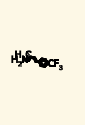 C[C@@H](CN)CCc1ccc(C(F)(F)F)cc1